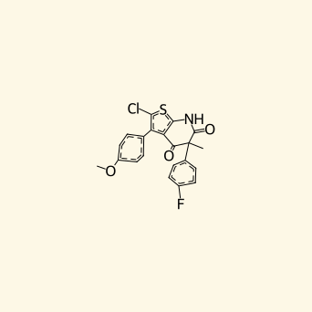 COc1ccc(-c2c(Cl)sc3c2C(=O)C(C)(c2ccc(F)cc2)C(=O)N3)cc1